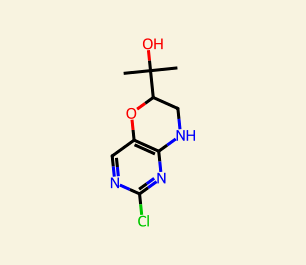 CC(C)(O)C1CNc2nc(Cl)ncc2O1